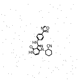 N#C[C@H]1CCCC[C@@H]1n1nc(Nc2ccc(-c3ncon3)cc2)c2c(=O)[nH]ccc21